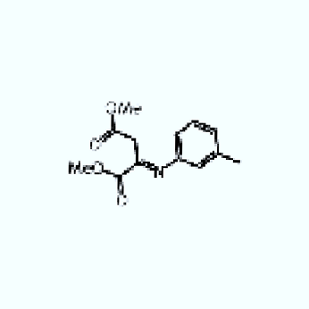 COC(=O)C/C(=N\c1cccc(C)c1)C(=O)OC